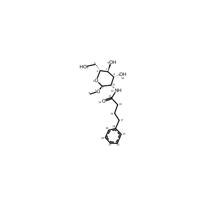 CO[C@H]1O[C@H](CO)[C@@H](O)[C@H](O)[C@@H]1NC(=O)CCCc1ccccc1